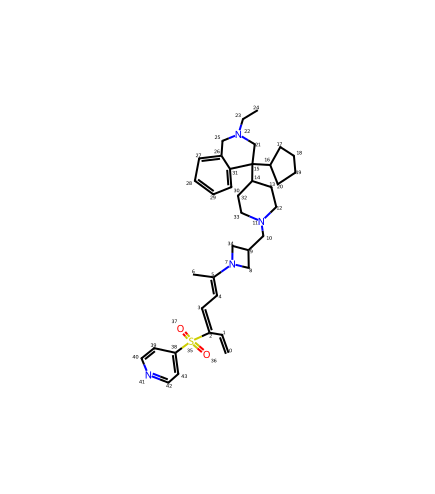 C=C/C(=C\C=C(/C)N1CC(CN2CCC(C3(C4CCCC4)CN(CC)Cc4ccccc43)CC2)C1)S(=O)(=O)c1ccncc1